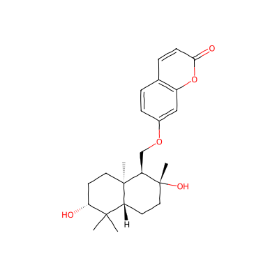 CC1(C)[C@H](O)CC[C@]2(C)[C@@H]1CC[C@@](C)(O)[C@@H]2COc1ccc2ccc(=O)oc2c1